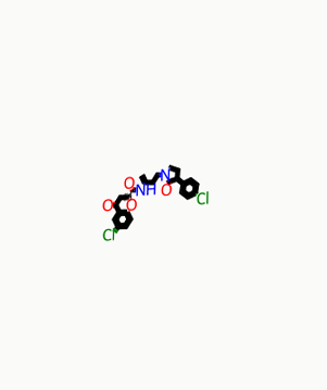 C=C(CCN1CCC(c2ccc(Cl)cc2)C1=O)NC(=O)[C@H]1CC(=O)c2cc(Cl)ccc2O1